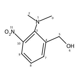 CN(C)c1c(CO)cccc1[N+](=O)[O-]